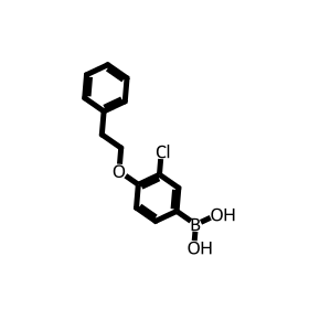 OB(O)c1ccc(OCCc2ccccc2)c(Cl)c1